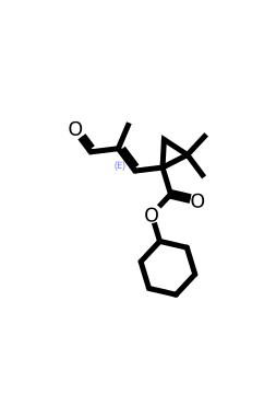 C/C(C=O)=C\C1(C(=O)OC2CCCCC2)CC1(C)C